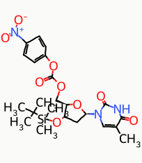 Cc1cn([C@H]2C[C@H](O[Si](C)(C)C(C)(C)C)[C@@H](COC(=O)Oc3ccc([N+](=O)[O-])cc3)O2)c(=O)[nH]c1=O